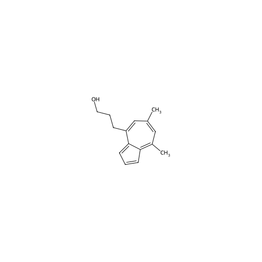 Cc1cc(C)c2cccc-2c(CCCO)c1